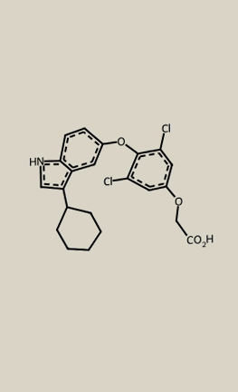 O=C(O)COc1cc(Cl)c(Oc2ccc3[nH]cc(C4CCCCC4)c3c2)c(Cl)c1